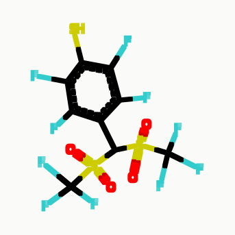 O=S(=O)(C(c1c(F)c(F)c(S)c(F)c1F)S(=O)(=O)C(F)(F)F)C(F)(F)F